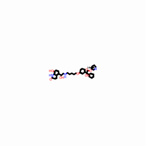 O=C(O[C@H]1CN2CCC1CC2)[C@](O)(c1ccccc1)c1cccc(OCCCCCNC[C@H](O)c2ccc(O)c3[nH]c(=O)ccc23)c1